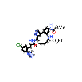 CCOC(=O)[C@@H]1CCCCC(NC(=O)/C=C/c2cc(Cl)ccc2-n2cnnn2)c2cc(cnn2)-c2ccc(NC(=O)OC)cc2N1